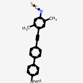 CCCCCc1ccc(-c2ccc(C#Cc3cc(C)c(N=C=S)cc3C)cc2)cc1